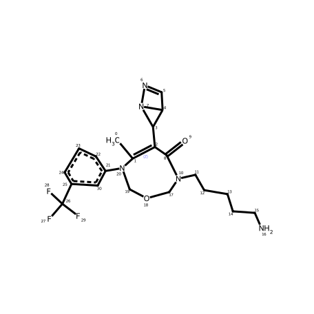 C/C1=C(\C2C3C=NN32)C(=O)N(CCCCCN)COCN1c1cccc(C(F)(F)F)c1